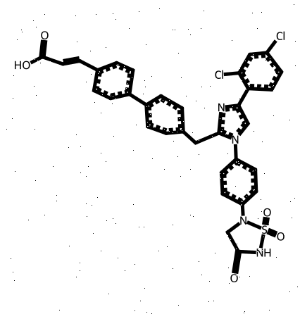 O=C(O)C=Cc1ccc(-c2ccc(Cc3nc(-c4ccc(Cl)cc4Cl)cn3-c3ccc(N4CC(=O)NS4(=O)=O)cc3)cc2)cc1